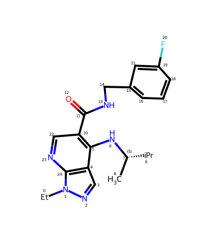 CCn1ncc2c(N[C@@H](C)C(C)C)c(C(=O)NCc3cccc(F)c3)cnc21